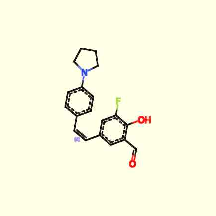 O=Cc1cc(/C=C\c2ccc(N3CCCC3)cc2)cc(F)c1O